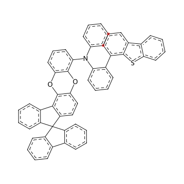 c1ccc(N(c2ccccc2-c2cccc3c2sc2ccccc23)c2cccc3c2Oc2ccc4c(c2O3)-c2ccccc2C42c3ccccc3-c3ccccc32)cc1